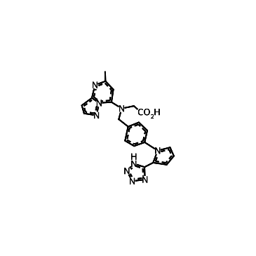 Cc1cc(N(CC(=O)O)Cc2ccc(-n3cccc3-c3nnn[nH]3)cc2)n2nccc2n1